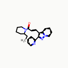 CCC1CCCCN1C(=O)C=Cc1c(-c2ccccn2)nn2ccccc12